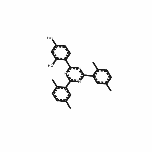 Cc1ccc(C)c(-c2nc(-c3cc(C)ccc3C)nc(-c3ccc(O)cc3O)n2)c1